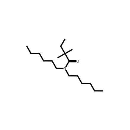 CCCCCCN(CCCCCC)C(=O)C(C)(C)CC